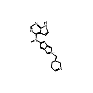 CN(C1=CC2=C[N+](CC3CCC=NC3)=CC2=C1)c1ncnc2[nH]ccc12